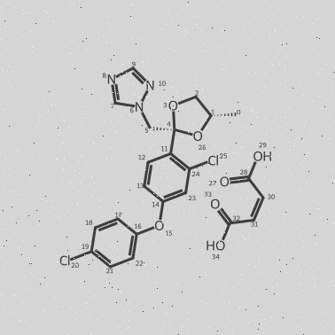 C[C@H]1CO[C@](Cn2cncn2)(c2ccc(Oc3ccc(Cl)cc3)cc2Cl)O1.O=C(O)/C=C\C(=O)O